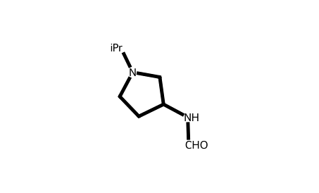 CC(C)N1CCC(NC=O)C1